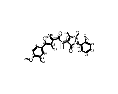 COc1ccc(-c2onc(C(=O)Nc3c(C)n(C)n(-c4ccccc4F)c3=O)c2C)cc1C